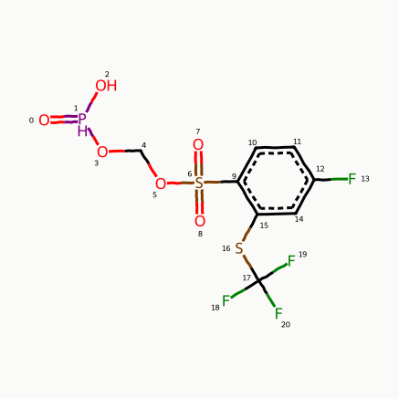 O=[PH](O)OCOS(=O)(=O)c1ccc(F)cc1SC(F)(F)F